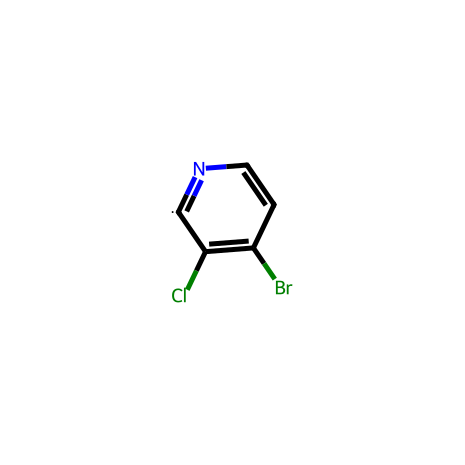 Clc1[c]nccc1Br